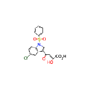 O=C(O)C(O)=CC(=O)c1cn(S(=O)(=O)c2ccccc2)c2ccc(Cl)cc12